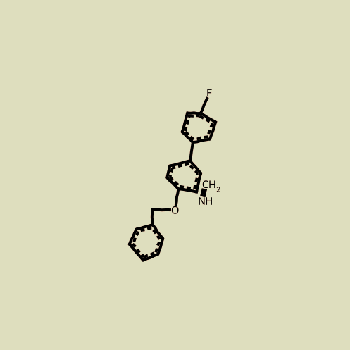 C=N.Fc1ccc(-c2ccc(OCc3ccccc3)cc2)cc1